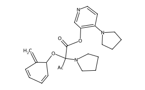 C=C1C=CC=CC1OC(C(C)=O)(C(=O)Oc1cnccc1N1CCCC1)N1CCCC1